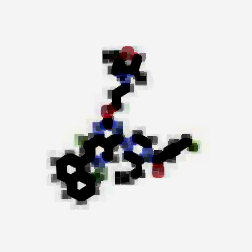 N#CC[C@H]1CN(c2nc(OCCCN3C[C@@H]4C[C@H]3CO4)nc3c(F)c(-c4cccc5cccc(Cl)c45)ncc23)CCN1C(=O)C#CCF